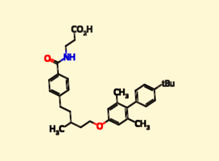 Cc1cc(OCCC(C)CCc2ccc(C(=O)NCCC(=O)O)cc2)cc(C)c1-c1ccc(C(C)(C)C)cc1